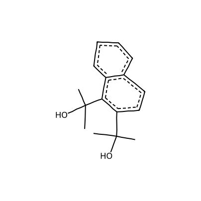 CC(C)(O)c1ccc2ccccc2c1C(C)(C)O